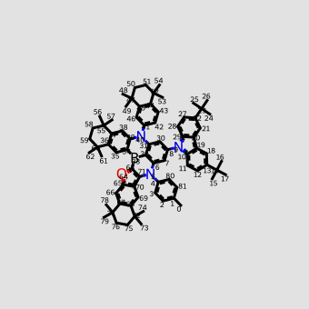 Cc1ccc(N2c3cc(-n4c5ccc(C(C)(C)C)cc5c5cc(C(C)(C)C)ccc54)cc4c3B(c3cc5c(cc3N4c3ccc4c(c3)C(C)(C)CCC4(C)C)C(C)(C)CCC5(C)C)c3oc4cc5c(cc4c32)C(C)(C)CCC5(C)C)cc1